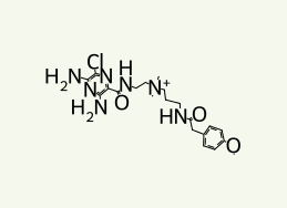 COc1ccc(CC(=O)NCCC[N+](C)(C)CCNC(=O)c2nc(Cl)c(N)nc2N)cc1